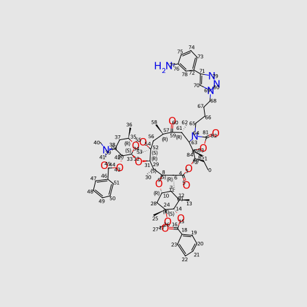 CC[C@H]1OC(=O)[C@H](C)[C@@H](O[C@@H]2C[C@@H](C)[C@H](OC(=O)c3ccccc3)[C@](C)(OC)C2)[C@H](C)[C@@H](O[C@@H]2O[C@H](C)C[C@H](N(C)C)[C@H]2OC(=O)c2ccccc2)[C@@](C)(OC)C[C@@H](C)C(=O)[C@H](C)C2N(CCCCn3cc(-c4cccc(N)c4)nn3)C(=O)O[C@@]21C